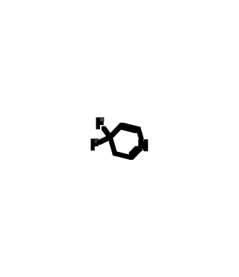 FC1(F)C=CN=CC1